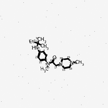 CCC(C)(C)Nc1ccc(N(C)C(=O)CN2CCN(C)CC2)cc1